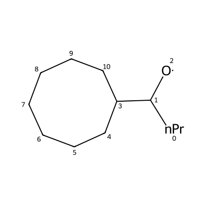 CCCC([O])C1CCCCCCC1